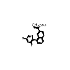 CC=C(OC)c1ccc2cccc(-c3ncc(F)cc3F)c2c1